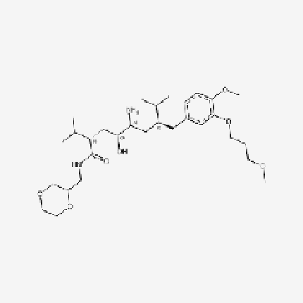 COCCCOc1cc(C[C@@H](C[C@H](N)[C@@H](O)C[C@H](C(=O)NCC2COCCO2)C(C)C)C(C)C)ccc1OC